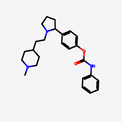 CN1CCC(CCN2CCCC2c2ccc(OC(=O)Nc3ccccc3)cc2)CC1